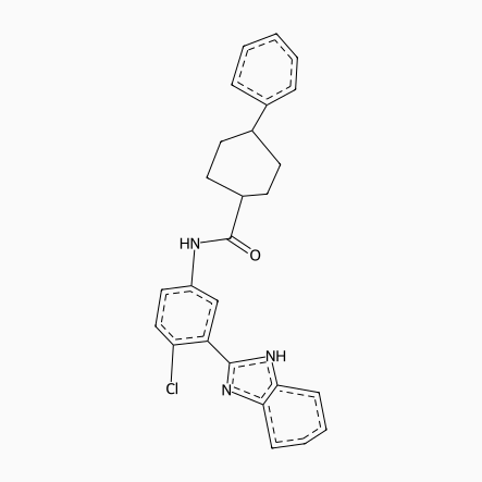 O=C(Nc1ccc(Cl)c(-c2nc3ccccc3[nH]2)c1)C1CCC(c2ccccc2)CC1